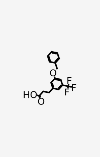 O=C(O)CCc1cc(OCc2ccccc2)cc(C(F)(F)F)c1